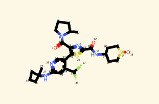 CC1CCCN1C(=O)c1nc(C(=O)NC2CC[S+]([O-])CC2)sc1-c1cnc(NC2(C)CCC2)cc1C(F)F